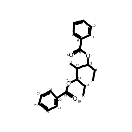 CCC(OC(=O)c1ccccc1)C(C)C(CC)OC(=O)c1ccccc1